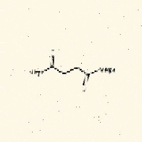 CCCCCCCC(=O)CCC(=O)CCCCCCC